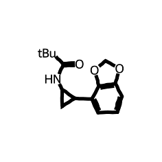 CC(C)(C)C(=O)NC1CC1c1cccc2c1OCO2